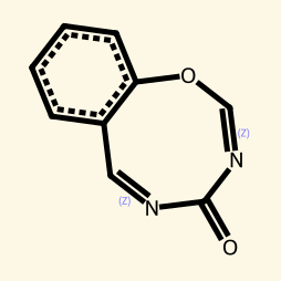 O=C1/N=C\Oc2ccccc2/C=N\1